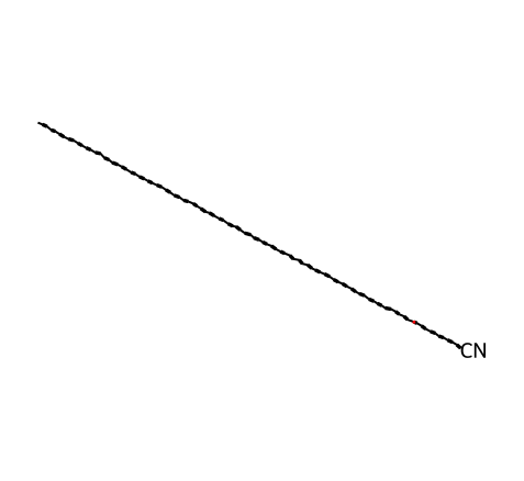 CC#CC#CC#CC#CC#CC#CC#CC#CC#CC#CC#CC#CC#CC#CC#CC#CC#CC#CC#CC#CC#CC#CC#CC#CC#CC#CC#CC#CC#CC#CC#CC#CC#CC#CC#CC#CC#CC#CC#CC#CC#CC#CC#CC#CC#CC#CC#CC#CC#N